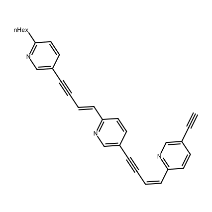 C#Cc1ccc(/C=C\C#Cc2ccc(/C=C/C#Cc3ccc(CCCCCC)nc3)nc2)nc1